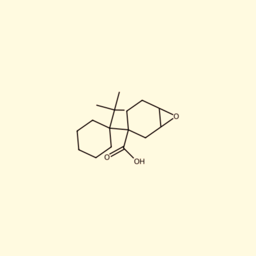 CC(C)(C)C1(C2(C(=O)O)CCC3OC3C2)CCCCC1